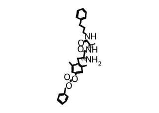 Cc1cc(OC(=O)OCc2ccccc2)cc(C)c1C[C@@H](N)C(=O)N[C@H](C)C(=O)NCCCc1ccccc1